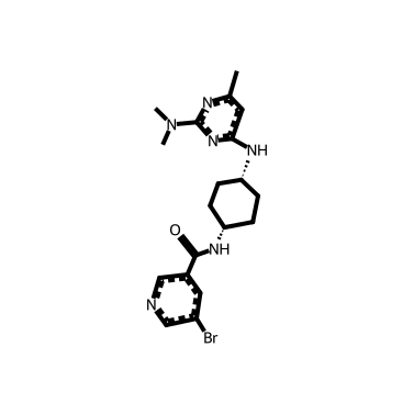 Cc1cc(N[C@H]2CC[C@@H](NC(=O)c3cncc(Br)c3)CC2)nc(N(C)C)n1